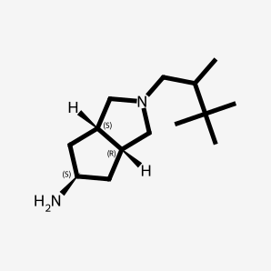 CC(CN1C[C@H]2C[C@H](N)C[C@H]2C1)C(C)(C)C